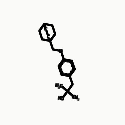 CC(C)(O)Cc1ccc(OCC23CCC(CC2)CC3)cc1